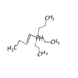 CCC=C[PH](CCC)(CCC)CCC